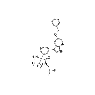 CC(C)C(N)(C(=O)NCC(F)(F)F)c1cncc(-c2c[nH]c3ncc(OCc4ccccc4)cc23)c1